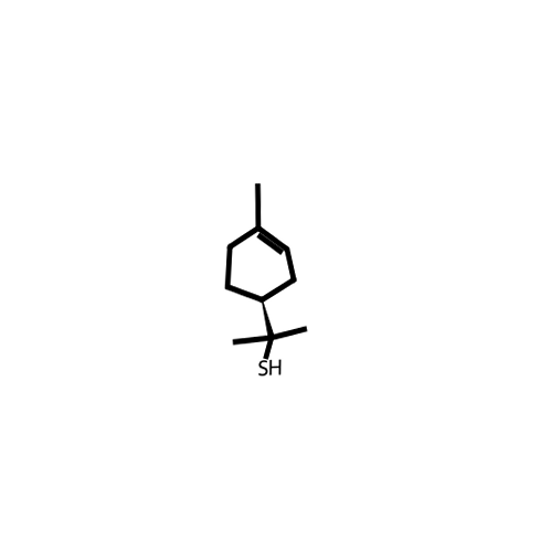 CC1=CC[C@@H](C(C)(C)S)CC1